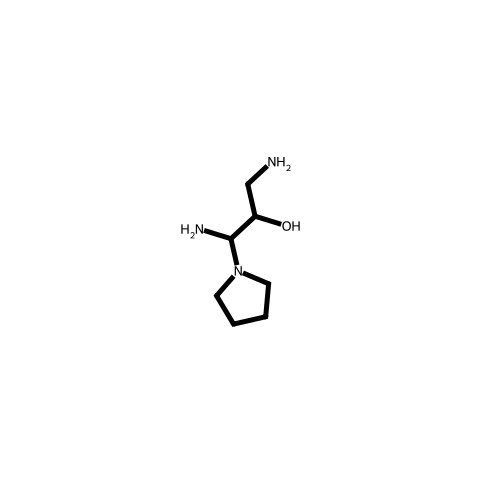 NCC(O)C(N)N1CCCC1